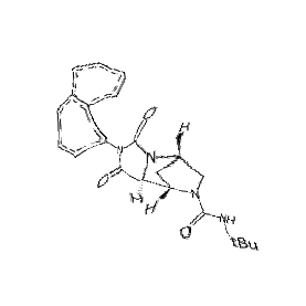 CC(C)(C)NC(=O)N1C[C@@H]2C[C@H]1[C@H]1C(=O)N(c3cccc4ccccc34)C(=O)N21